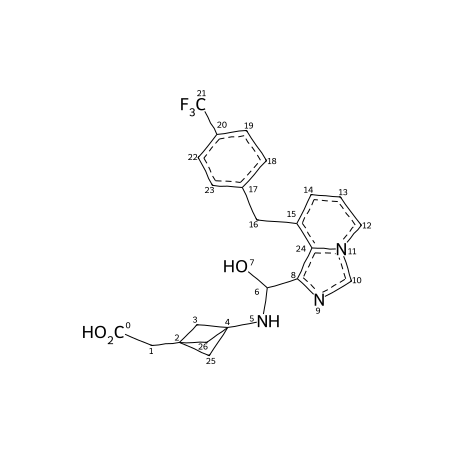 O=C(O)CC12CC(NC(O)c3ncn4cccc(Cc5ccc(C(F)(F)F)cc5)c34)(C1)C2